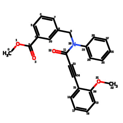 COC(=O)c1cccc(CN(C(=O)C#Cc2ccccc2OC)c2ccccc2)c1